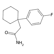 NC(=O)CC1(c2ccc(F)cc2)CCCCC1